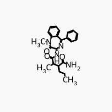 CCCC(C(N)=O)C(C)C(=O)N[C@H]1N=C(c2ccccc2)c2ccccc2N(C)C1=O